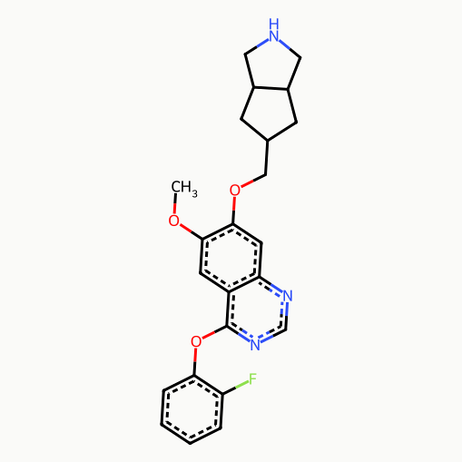 COc1cc2c(Oc3ccccc3F)ncnc2cc1OCC1CC2CNCC2C1